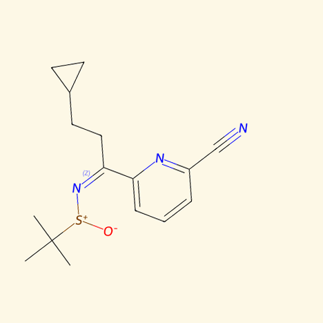 CC(C)(C)[S+]([O-])/N=C(/CCC1CC1)c1cccc(C#N)n1